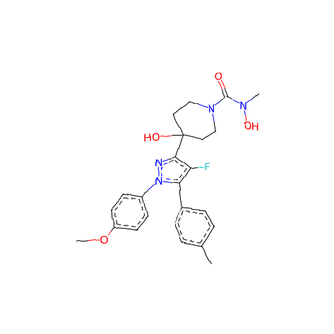 COc1ccc(-n2nc(C3(O)CCN(C(=O)N(C)O)CC3)c(F)c2-c2ccc(C)cc2)cc1